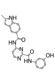 Cc1cc2cc(C(=O)Nc3ccnc(C(=O)Nc4cccc(O)c4)n3)ccc2[nH]1